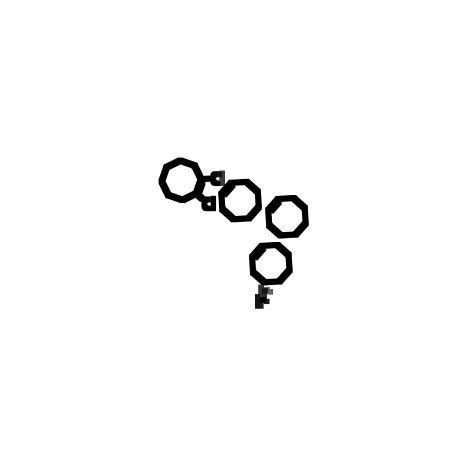 C1=C\CCCCCC/1.C1=C\CCCCCC/1.C1=C\CCCCCC/1.Cl/C1=C(\Cl)CCCCCC1.[Ir].[Ir]